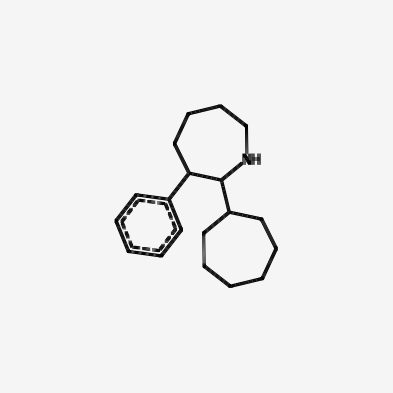 c1ccc(C2CCCCNC2C2CCCCCC2)cc1